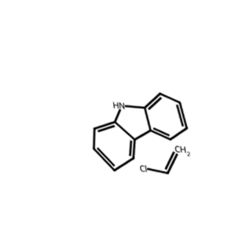 C=CCl.c1ccc2c(c1)[nH]c1ccccc12